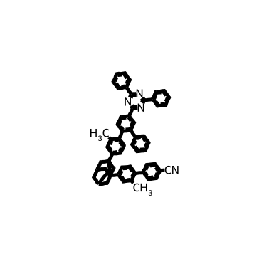 Cc1cc(C23CC4CC(C2)CC(c2ccc(-c5ccc(-c6nc(-c7ccccc7)nc(-c7ccccc7)n6)cc5-c5ccccc5)c(C)c2)(C4)C3)ccc1-c1ccc(C#N)cc1